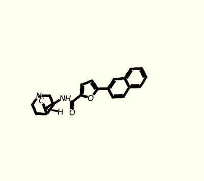 O=C(N[C@H]1CN2CCC1CC2)c1ccc(-c2ccc3ccccc3c2)o1